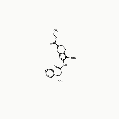 CCOC(=O)N1CCc2c(sc(NC(=O)C[C@H](C)c3cccnc3)c2C#N)C1